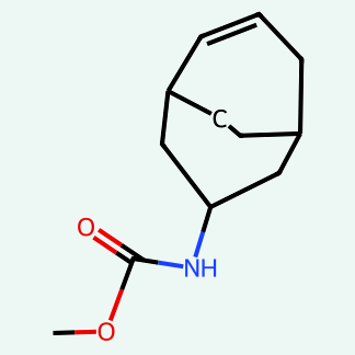 COC(=O)NC1CC2C=CCC(CC2)C1